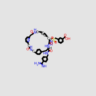 N=C(N)c1ccc(CNC(=O)[C@@H]2Cc3ccc(cc3)CNC(=O)Cc3cccc(n3)CC(=O)NCc3ccc(cc3)C[C@@H](NS(=O)(=O)Cc3cccc(C(=O)O)c3)C(=O)N2)cc1